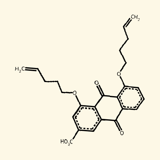 C=CCCCOc1cccc2c1C(=O)c1c(OCCCC=C)cc(C(=O)O)cc1C2=O